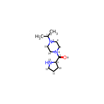 CC(C)N1CCN(C(=O)C2CCCN2)CC1